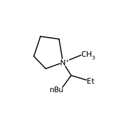 CCCCC(CC)[N+]1(C)CCCC1